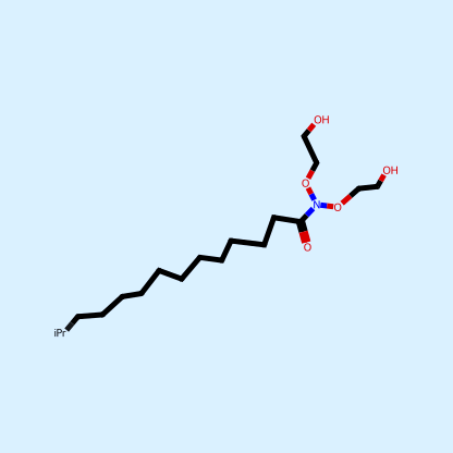 CC(C)CCCCCCCCCCCC(=O)N(OCCO)OCCO